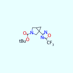 CC(C)(C)OC(=O)N1CC2CC2(c2noc(C(F)(F)F)n2)C1